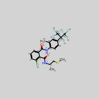 CSC[C@H](C)NC(=O)c1c(Cl)cccc1C(=O)Nc1ccc(C(F)(C(F)(F)F)C(F)(F)F)cc1C